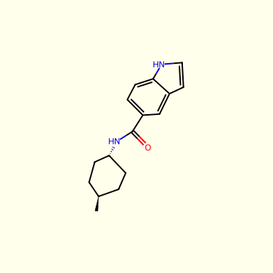 C[C@H]1CC[C@H](NC(=O)c2ccc3[nH]ccc3c2)CC1